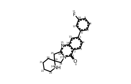 O=c1c2ccc(-c3cccc(F)c3)cc2nc2n1CC1(CCCCN1)C2